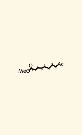 COC(=O)CCCCCCCC(C)=O